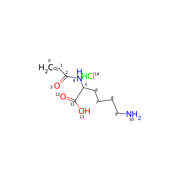 C=CC(=O)NC(CCCCN)C(=O)O.Cl